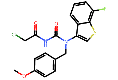 COc1ccc(CN(C(=O)NC(=O)CCl)c2csc3c(F)cccc23)cc1